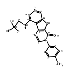 Cc1ccc(-n2cnc3c(sc4cnnc(NCC(F)(F)F)c43)c2=O)cc1